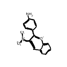 CCN(CC)c1cc2ccccc2[o+]c1-c1ccc(N)cc1